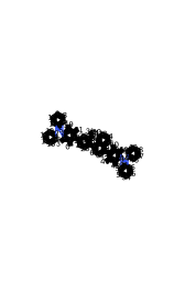 Cc1c(C)c(N(c2ccccc2)c2ccccc2)c(C)c(C)c1-c1ccc2c(c1)[Si](C)(C)c1cccc3c(-c4c(C)c(C)c(N(c5ccccc5)c5ccccc5)c(C)c4C)ccc-2c13